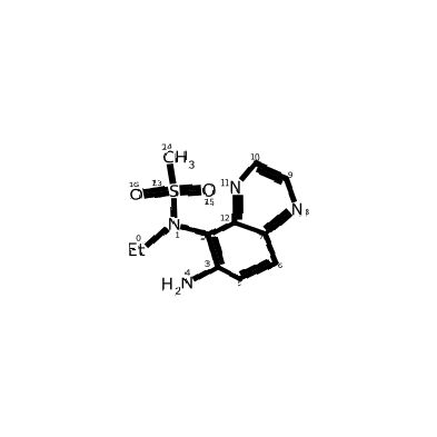 CCN(c1c(N)ccc2nccnc12)S(C)(=O)=O